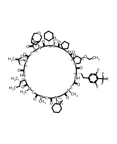 CCO[C@@H]1C[C@H]2C(=O)NC3(CCCC3)C(=O)N(C)[C@@H](C3CCCCC3)C(=O)N(C)[C@H](C(=O)N3C4CCC3COC4)CC(=O)N(C)[C@@H](CC(C)C)C(=O)N[C@@H]([C@@H](C)CC)C(=O)N(C)CC(=O)N(C)CC(=O)N(C)[C@@H](CC3CCCCC3)C(=O)N(C)CC(=O)N[C@@H](CCc3cc(F)c(C(F)(F)F)c(F)c3)C(=O)N2C1